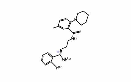 C=C(NCC/C=C(\NC)c1ccccc1CCC)c1cc(C)ccc1N1CCCCC1